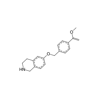 C=C(OC)c1ccc(COc2ccc3c(c2)CCNC3)cc1